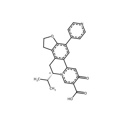 CC(C)[C@@H]1Cc2c(cc(-c3ccncc3)c3c2CCO3)-c2cc(=O)c(C(=O)O)cn21